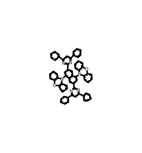 c1ccc(-c2cc(-c3ccccc3)nc(-c3cc(N4c5ccccc5Oc5ccccc54)c4cc(-c5nc(-c6ccccc6)cc(-c6ccccc6)n5)cc(N5c6ccccc6Oc6ccccc65)c4c3)n2)cc1